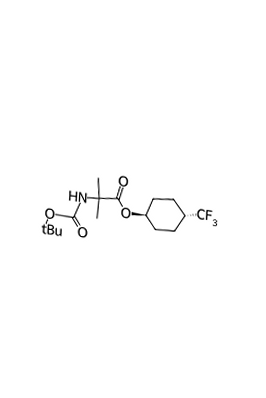 CC(C)(C)OC(=O)NC(C)(C)C(=O)O[C@H]1CC[C@H](C(F)(F)F)CC1